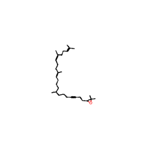 CC(C)=CCC/C(C)=C\CC/C(C)=C/CCCC(C)CCCC#CCCC1OC1(C)C